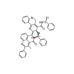 CC[C@H](NC(=O)c1c(CBr)c(-c2ccccc2)nc2c(-c3cccc4nc(-c5ccccc5)c(C)c(C(=O)N[C@@H](CC)c5ccccc5)c34)cccc12)c1ccccc1